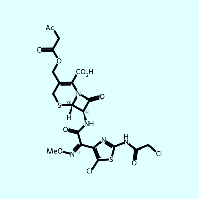 CO/N=C(\C(=O)N[C@@H]1C(=O)N2C(C(=O)O)=C(COC(=O)CC(C)=O)CS[C@@H]12)c1nc(NC(=O)CCl)sc1Cl